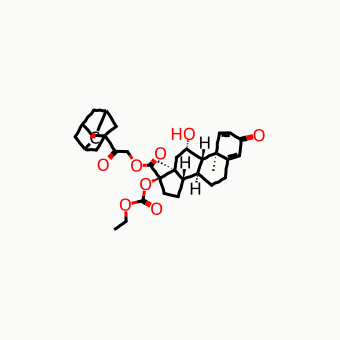 CCOC(=O)O[C@]1(C(=O)OCC(=O)C23CC4CC(CC(C4)C2)C3)CC[C@H]2[C@@H]3CCC4=CC(=O)C=C[C@]4(C)[C@H]3[C@@H](O)C[C@@]21C